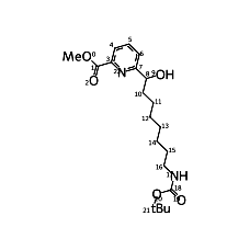 COC(=O)c1cccc(C(O)CCCCCCCNC(=O)OC(C)(C)C)n1